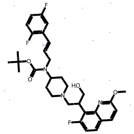 COc1ccc2ccc(F)c(C(CO)CN3CCC(N(C/C=C/c4cc(F)ccc4F)C(=O)OC(C)(C)C)CC3)c2n1